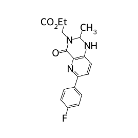 CCOC(=O)CN1C(=O)c2nc(-c3ccc(F)cc3)ccc2NC1C